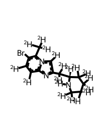 [2H]c1c(Br)c(C([2H])([2H])[2H])n2c([2H])c(C([2H])([2H])[C@@]3([2H])N([2H])C([2H])([2H])C([2H])([2H])C([2H])([2H])C3([2H])[2H])nc2c1[2H]